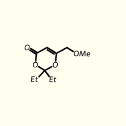 CCC1(CC)OC(=O)C=C(COC)O1